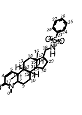 CN1C(=O)C=C[C@@]2(C)C1CC[C@@H]1[C@H]2CC[C@]2(C)C(CNS(=O)(=O)c3ccccc3)CC[C@@H]12